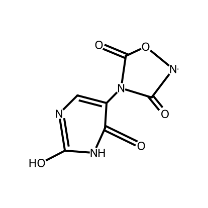 O=C1[N]OC(=O)N1c1cnc(O)[nH]c1=O